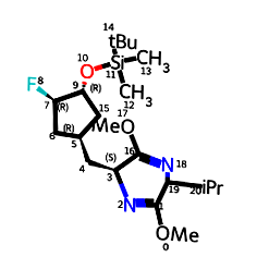 COC1=N[C@@H](C[C@H]2C[C@@H](F)[C@H](O[Si](C)(C)C(C)(C)C)C2)C(OC)=NC1C(C)C